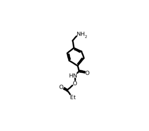 CCC(=O)ONC(=O)c1ccc(CN)cc1